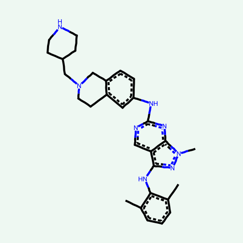 Cc1cccc(C)c1Nc1nn(C)c2nc(Nc3ccc4c(c3)CCN(CC3CCNCC3)C4)ncc12